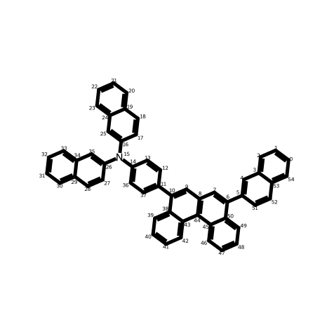 c1ccc2cc(-c3cc4cc(-c5ccc(N(c6ccc7ccccc7c6)c6ccc7ccccc7c6)cc5)c5ccccc5c4c4ccccc34)ccc2c1